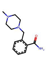 CN1CCN(Cc2ccccc2C(N)=O)CC1